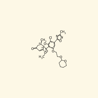 COC1=CC(=O)C[C@@H](C)[C@]12Oc1c(Cl)c(-c3nc(C)no3)cc(OCCOC3CCCCO3)c1C2=O